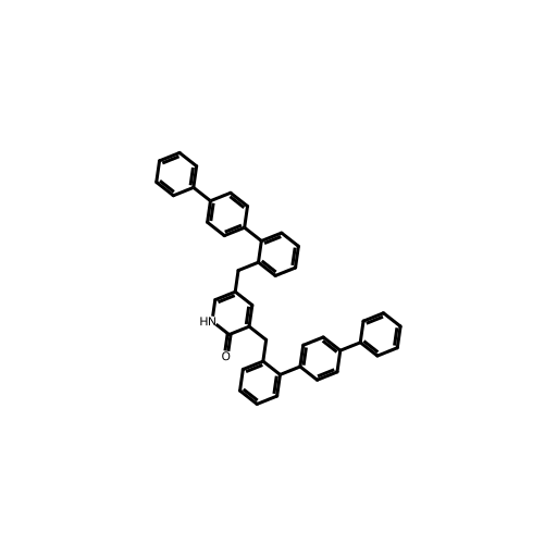 O=c1[nH]cc(Cc2ccccc2-c2ccc(-c3ccccc3)cc2)cc1Cc1ccccc1-c1ccc(-c2ccccc2)cc1